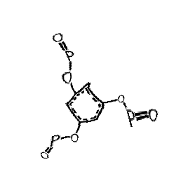 O=POc1cc(OP=O)cc(OP=O)c1